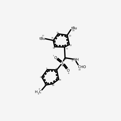 Cc1ccc(S(=O)(=O)C(NC=O)c2cc(C(C)(C)C)cc(C(C)(C)C)c2)cc1